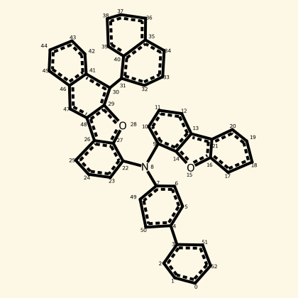 c1ccc(-c2ccc(N(c3cccc4c3oc3ccccc34)c3cccc4c3oc3c(-c5cccc6ccccc56)c5ccccc5cc34)cc2)cc1